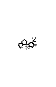 Fc1ccc([C@@]2(NCl)CCOc3cccnc32)cc1C(F)(F)F